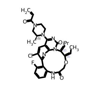 C=CC(=O)N1CCN(c2nc(=O)n3c4nc(c(Cl)cc24)-c2c(F)cccc2NC(=O)COC(=C/C)/C3=C/C(C)C)[C@@H](C)C1